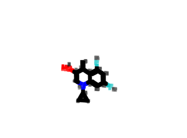 C=C1C(O)=CN(C2CC2)c2cc(F)cc(F)c21